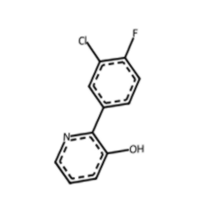 Oc1cccnc1-c1ccc(F)c(Cl)c1